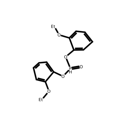 CCOc1ccccc1O[PH](=O)Oc1ccccc1OCC